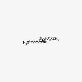 CCCCCCCCCc1ccc(CCCCCCCCC)c(O)c1